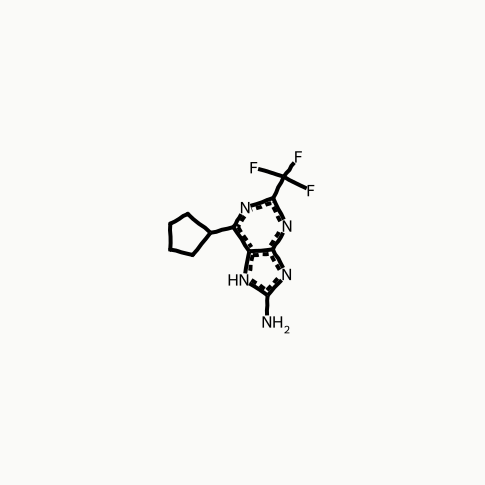 Nc1nc2nc(C(F)(F)F)nc(C3CCCC3)c2[nH]1